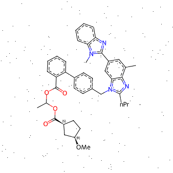 CCCc1nc2c(C)cc(-c3nc4ccccc4n3C)cc2n1Cc1ccc(-c2ccccc2C(=O)OC(C)OC(=O)[C@H]2CC[C@@H](OC)C2)cc1